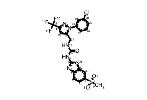 CS(=O)(=O)c1ccc2nc(NC(=O)NCc3cc(C(F)(F)F)nn3-c3cccc(Cl)c3)sc2c1